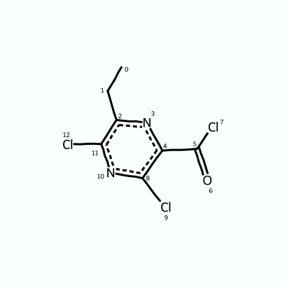 CCc1nc(C(=O)Cl)c(Cl)nc1Cl